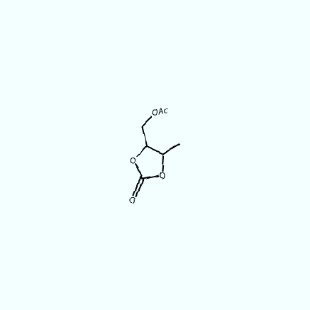 [CH2]C(=O)OCC1OC(=O)OC1C